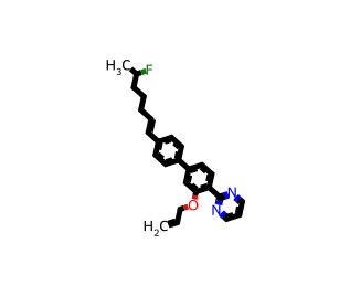 C=CCOc1cc(-c2ccc(C=CCCCC(C)F)cc2)ccc1-c1ncccn1